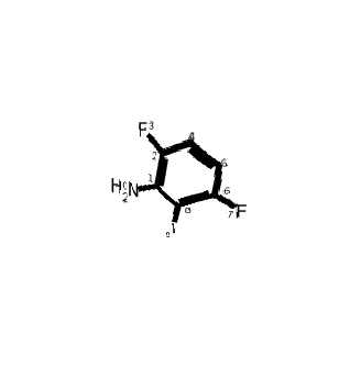 Nc1c(F)ccc(F)c1I